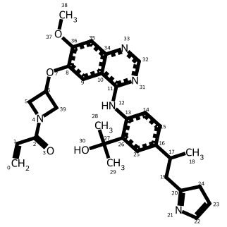 C=CC(=O)N1CC(Oc2cc3c(Nc4ccc(C(C)CC5=NC=CC5)cc4C(C)(C)O)ncnc3cc2OC)C1